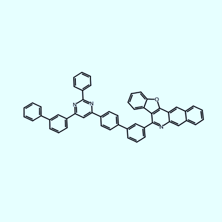 c1ccc(-c2cccc(-c3cc(-c4ccc(-c5cccc(-c6nc7cc8ccccc8cc7c7oc8ccccc8c67)c5)cc4)nc(-c4ccccc4)n3)c2)cc1